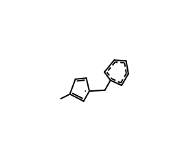 CC1=C[C](Cc2ccccc2)C=C1